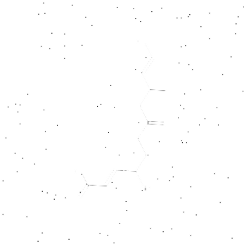 C=C(C)C=CC(CCC(=O)CC(O)C=CCCC)C(C)C